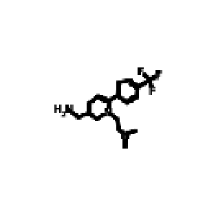 CN(C)CCN1CC(CN)=CC=C1c1ccc(C(F)(F)F)cc1